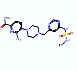 CCNS(=O)(=O)Nc1cc(CN2CCN(c3ccc(C(=O)NC)nc3C(F)(F)F)CC2)ncn1